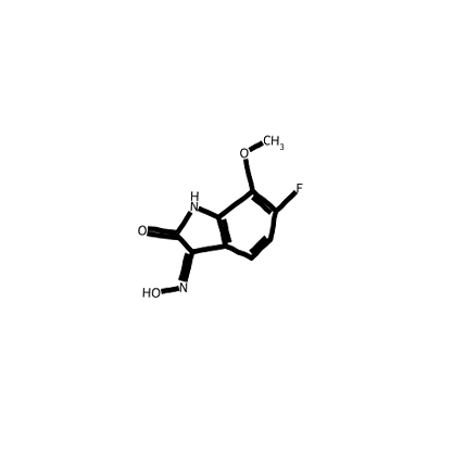 COc1c(F)ccc2c1NC(=O)C2=NO